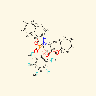 C[C@H](NP(=O)(Oc1c(F)c(F)c(F)c(F)c1F)Oc1cccc2ccccc12)C(=O)OC1CCCCC1